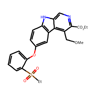 CCOC(=O)c1ncc2[nH]c3ccc(Oc4ccccc4S(=O)(=O)CC)cc3c2c1COC